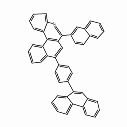 c1ccc2cc(-c3nc4ccccc4c4c3cc(-c3ccc(-c5cc6ccccc6c6ccccc56)cc3)c3ccccc34)ccc2c1